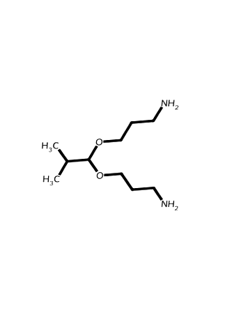 CC(C)C(OCCCN)OCCCN